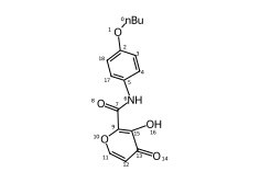 CCCCOc1ccc(NC(=O)c2occc(=O)c2O)cc1